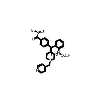 CCN(CC)C(=O)c1ccc(C(=C2CCN(Cc3ccncc3)CC2)c2ccccc2N(C)C(=O)O)cc1